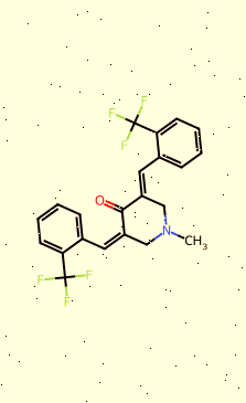 CN1CC(=Cc2ccccc2C(F)(F)F)C(=O)C(=Cc2ccccc2C(F)(F)F)C1